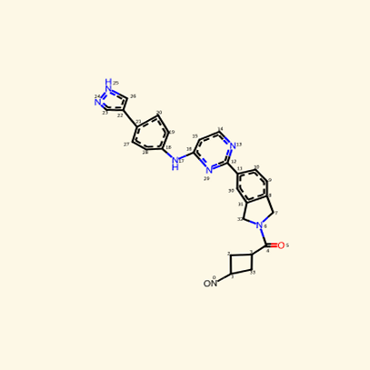 O=NC1CC(C(=O)N2Cc3ccc(-c4nccc(Nc5ccc(-c6cn[nH]c6)cc5)n4)cc3C2)C1